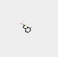 N#Cc1cc(F)cc2cc(B(O)O)sc12